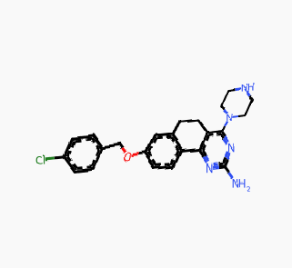 Nc1nc2c(c(N3CCNCC3)n1)CCc1cc(OCc3ccc(Cl)cc3)ccc1-2